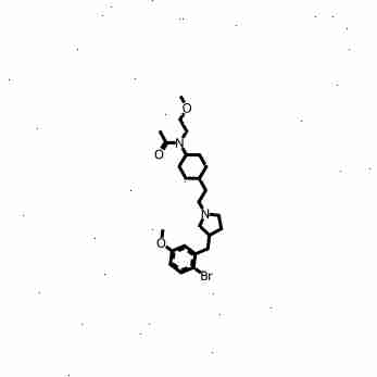 COCCN(C(C)=O)C1CCC(CCN2CCC(Cc3cc(OC)ccc3Br)C2)CC1